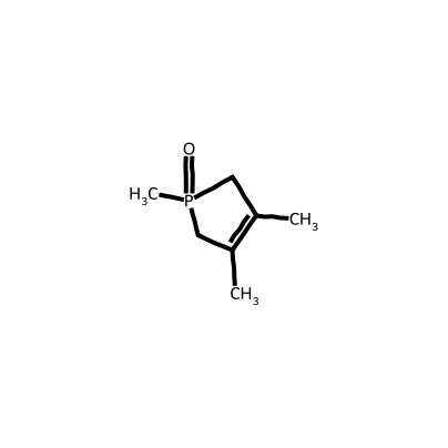 CC1=C(C)CP(C)(=O)C1